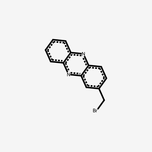 BrCc1ccc2nc3ccccc3nc2c1